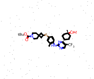 Cc1cc(SC2CC3(CCN(C(=O)OC(C)(C)C)CC3)C2)ccc1Nc1ncc(C(F)(F)F)c([C@H]2CC[C@@](C)(O)CC2)n1